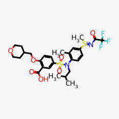 Cc1cc(/S(C)=N/C(=O)C(F)(F)F)ccc1N(CC(C)C)S(=O)(=O)c1ccc(OCC2CCOCC2)c(C(=O)O)c1